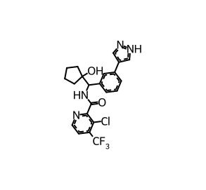 O=C(NC(c1cccc(-c2cn[nH]c2)c1)C1(O)CCCC1)c1nccc(C(F)(F)F)c1Cl